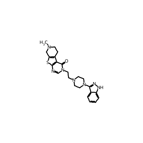 CN1CCc2c(sc3ncn(CCN4CCN(c5n[nH]c6ccccc56)CC4)c(=O)c23)C1